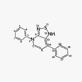 C1=CN(c2ccccc2)C2=NSNC2=C1c1ccccc1